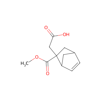 COC(=O)C1(CC(=O)O)CC2C=CC1C2